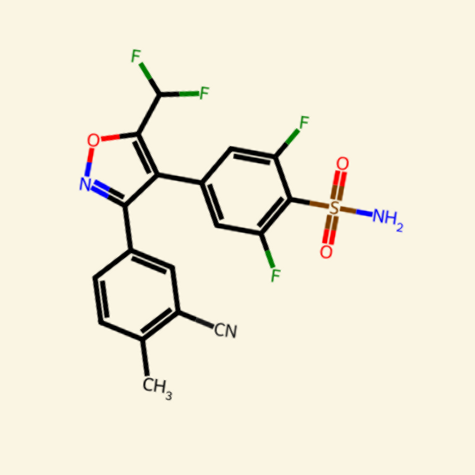 Cc1ccc(-c2noc(C(F)F)c2-c2cc(F)c(S(N)(=O)=O)c(F)c2)cc1C#N